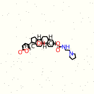 C[C@]12CC[C@H](OC(=O)NCCN3CCCC3)C[C@H]1CC[C@@H]1[C@@H]2CC[C@]2(C)[C@@H](c3ccc(=O)oc3)[CH]C[C@]12O